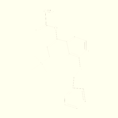 COC(=O)O/C(=C/C[Si](C)(C)C)c1cccc(OCc2ccccc2)c1